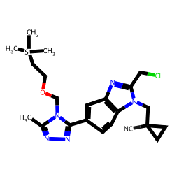 Cc1nnc(-c2ccc3c(c2)nc(CCl)n3CC2(C#N)CC2)n1COCC[Si](C)(C)C